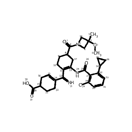 COC1(C)CN(C(=O)C2CCC(C(=N)C3=CCC(C(=O)O)CC3)=C(NC(=O)c3c(Cl)cccc3C3CC3)C2)C1